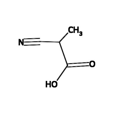 CC(C#N)C(=O)O